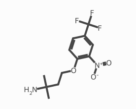 CC(C)(N)CCOc1ccc(C(F)(F)F)cc1[N+](=O)[O-]